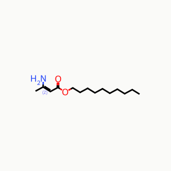 CCCCCCCCCCOC(=O)/C=C(/C)N